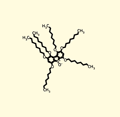 CCCCCCCCOc1cc(OCCCCCCCC)c2c(c1OCCCCCCCC)c1c(OCCCCCCCC)c(OCCCCCCCC)cc(OCCCCCCCC)c1[s+]2[O-]